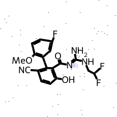 COc1ccc(F)cc1-c1c(C#N)ccc(O)c1C(=O)/N=C(\N)NCC(F)F